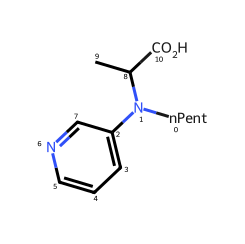 CCCCCN(c1cccnc1)C(C)C(=O)O